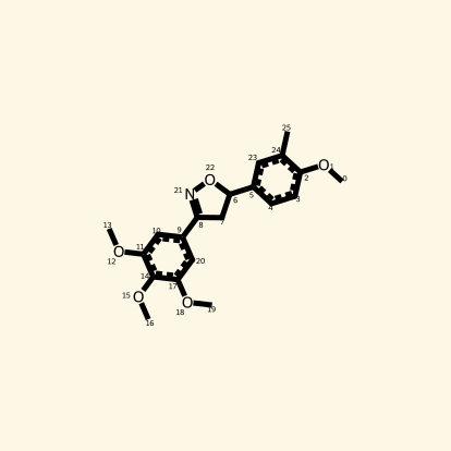 COc1ccc(C2CC(c3cc(OC)c(OC)c(OC)c3)=NO2)cc1C